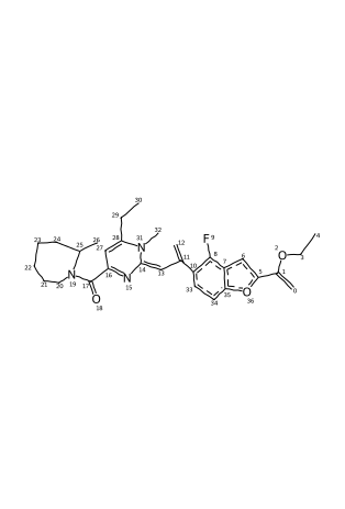 C=C(OCC)c1cc2c(F)c(C(=C)/C=C3/N=C(C(=O)N4CCCCCC4C)C=C(CC)N3C)ccc2o1